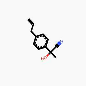 C=CCc1ccc(C(C)(O)C#N)cc1